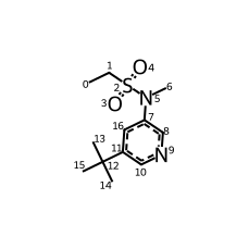 CCS(=O)(=O)N(C)c1cncc(C(C)(C)C)c1